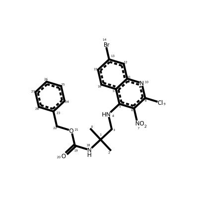 CC(C)(CNc1c([N+](=O)[O-])c(Cl)nc2cc(Br)ccc12)NC(=O)OCc1ccccc1